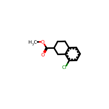 COC(=O)C1CCc2cccc(Cl)c2C1